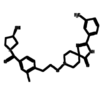 Cc1cc(C(=O)N2CC[C@@H](O)C2)ccc1CCON1CCC2(CC1)N=C(c1cccc(C(F)(F)F)c1)NC2=O